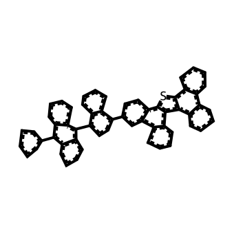 c1ccc(-c2c3ccccc3c(-c3ccc(-c4ccc5c(c4)c4ccccc4c4c5sc5c6ccccc6c6ccccc6c54)c4ccccc34)c3ccccc23)cc1